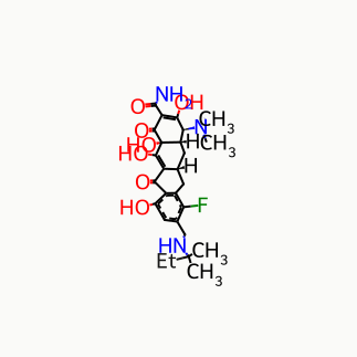 CCC(C)(C)NCc1cc(O)c2c(c1F)C[C@H]1C[C@H]3[C@H](N(C)C)C(O)=C(C(N)=O)C(=O)[C@@]3(O)C(O)=C1C2=O